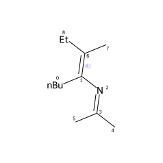 CCCC/C(N=C(C)C)=C(/C)CC